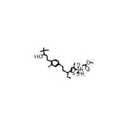 CCC(CCc1ccc(CCC(O)C(C)(C)C)c(C)c1)c1cc(C)c(S(=O)(=O)NCC(=O)OC)s1